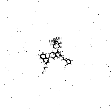 COCOc1cc(N2CCc3c(nc(OCC4CCCN4C)nc3N3C[C@H]4C[C@@H](O)[C@@H](C3)N4C(=O)O)C2)c2ccccc2c1